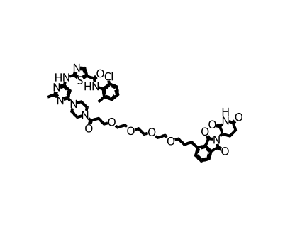 Cc1nc(Nc2ncc(C(=O)Nc3c(C)cccc3Cl)s2)cc(N2CCN(C(=O)CCOCCOCCOCCOCCCc3cccc4c3C(=O)N(C3CCC(=O)NC3=O)C4=O)CC2)n1